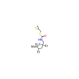 CCC(CC(C)(CC)CNC(=O)SCC1CS1)NC